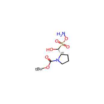 CC(C)(C)OC(=O)N1CCC[C@H]1C(O)S(=O)(=O)ON